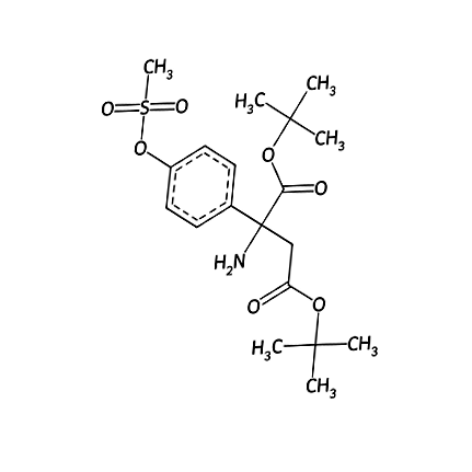 CC(C)(C)OC(=O)CC(N)(C(=O)OC(C)(C)C)c1ccc(OS(C)(=O)=O)cc1